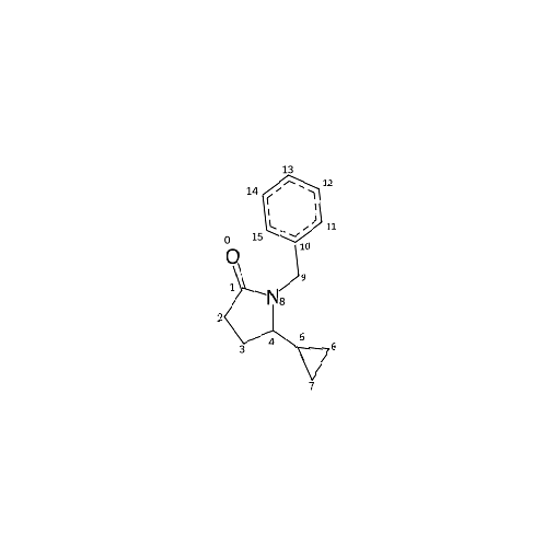 O=C1CCC(C2CC2)N1Cc1ccccc1